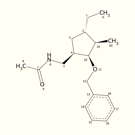 CC[C@H]1C[C@H](CNC(C)=O)[C@H](OCc2ccccc2)[C@@H]1C